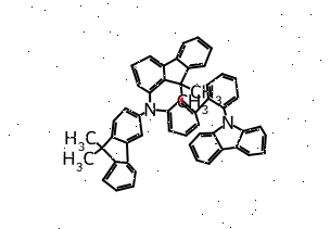 CC1(C)c2ccccc2-c2cc(N(c3cccc(-c4ccccc4-n4c5ccccc5c5ccccc54)c3)c3cccc4c3C(C)(C)c3ccccc3-4)ccc21